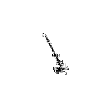 CCC=CCC=CCC=CCC=CCC=CCC=CCCC(=O)NCCOCCNC(=O)CCC(C)=CCc1c(O)c2c(c(C)c1OC)COC2=O